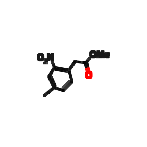 COC(=O)Cc1ccc(C)cc1[N+](=O)[O-]